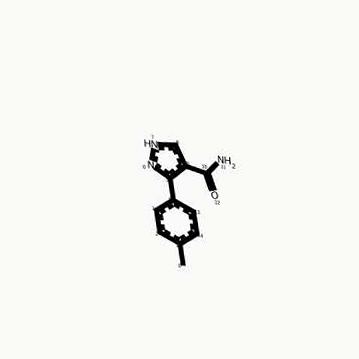 Cc1ccc(-c2n[nH]cc2C(N)=O)cc1